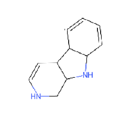 [C]1=CC=CC2NC3CNC=CC3C12